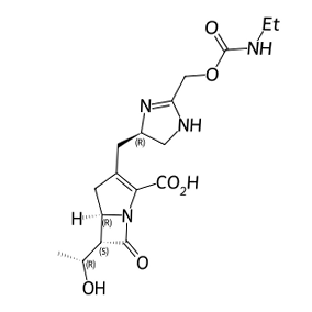 CCNC(=O)OCC1=N[C@H](CC2=C(C(=O)O)N3C(=O)[C@H]([C@@H](C)O)[C@H]3C2)CN1